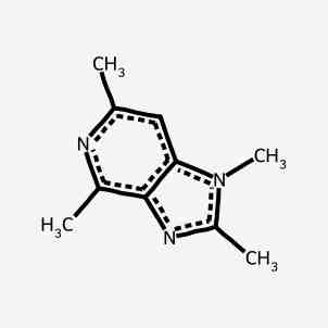 Cc1cc2c(nc(C)n2C)c(C)n1